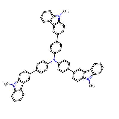 Cn1c2ccccc2c2cc(-c3ccc(N(c4ccc(-c5ccc6c(c5)c5ccccc5n6C)cc4)c4ccc(-c5ccc6c(c5)c5ccccc5n6C)cc4)cc3)ccc21